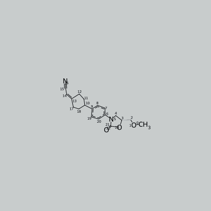 COC[C@H]1CN(c2ccc(C3CCC(=CC#N)CC3)cc2)C(=O)O1